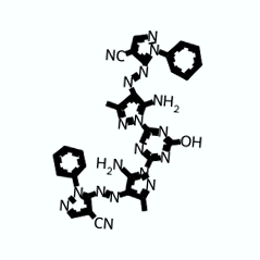 Cc1nn(-c2nc(O)nc(-n3nc(C)c(N=Nc4c(C#N)cnn4-c4ccccc4)c3N)n2)c(N)c1N=Nc1c(C#N)cnn1-c1ccccc1